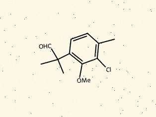 COc1c(C(C)(C)C=O)ccc(C)c1Cl